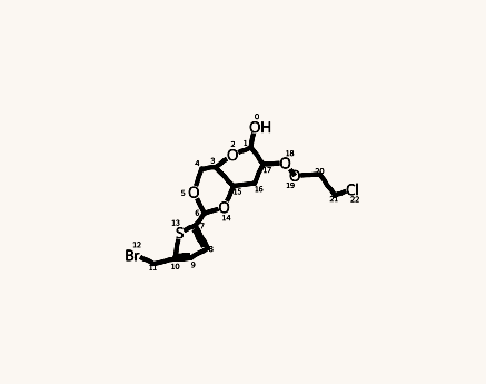 OC1OC2COC(c3ccc(CBr)s3)OC2CC1OOCCCl